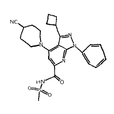 CS(=O)(=O)NC(=O)c1cc(N2CCC(C#N)CC2)c2c(C3CCC3)nn(-c3ccccc3)c2n1